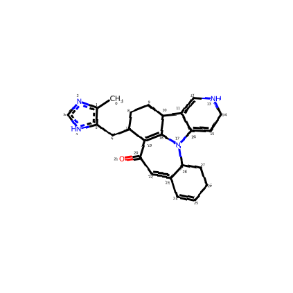 Cc1nc[nH]c1CC1CCC2C3=CNCC=C3N3C2=C1C(=O)C=C1C=CCCC13